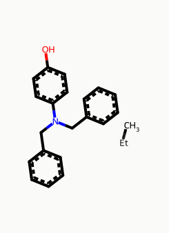 CCC.Oc1ccc(N(Cc2ccccc2)Cc2ccccc2)cc1